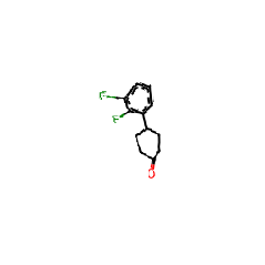 O=C1CCC(c2cccc(F)c2F)CC1